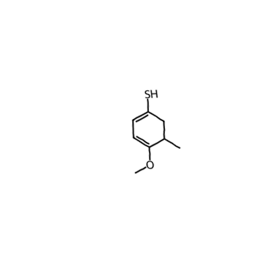 COC1=CC=C(S)CC1C